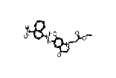 CCOC(=O)CCN1CCC(=O)c2cc(/N=N/c3ccc([N+](=O)[O-])c4ccccc34)c(O)cc21